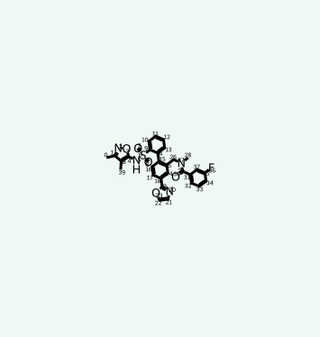 Cc1noc(NS(=O)(=O)c2ccccc2-c2ccc(-c3ncco3)cc2CN(C)C(=O)c2cccc(F)c2)c1C